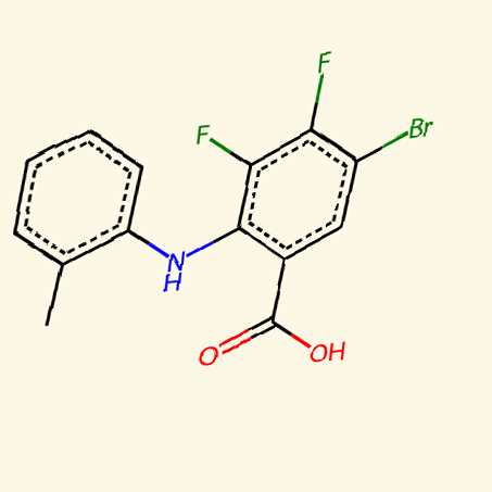 Cc1ccccc1Nc1c(C(=O)O)cc(Br)c(F)c1F